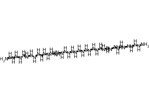 NNNNNNNNNNNNNNNNNNNNNNNNNNNNNNNNNNNNNNNN